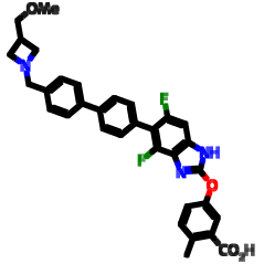 COCC1CN(Cc2ccc(-c3ccc(-c4c(F)cc5[nH]c(Oc6ccc(C)c(C(=O)O)c6)nc5c4F)cc3)cc2)C1